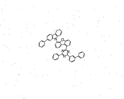 C1=Cc2c(c3ccc(-c4ccccc4)cc3n2-c2cccc3c2oc2cccc(-c4nc(-c5ccccc5)nc(-c5cccc(-c6ccccc6)c5)n4)c23)CC1